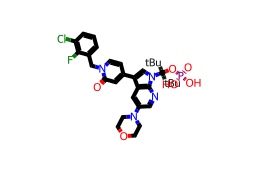 CC(C)(C)C(OP(=O)(O)O)(n1cc(-c2ccn(Cc3cccc(Cl)c3F)c(=O)c2)c2cc(N3CCOCC3)cnc21)C(C)(C)C